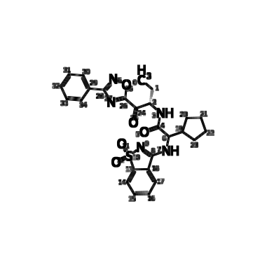 CC[C@H](NC(=O)C(NC1=NS(=O)(=O)c2ccccc21)C1CCCC1)C(=O)c1nc(-c2ccccc2)no1